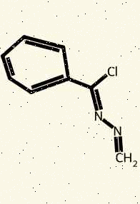 C=NN=C(Cl)c1ccccc1